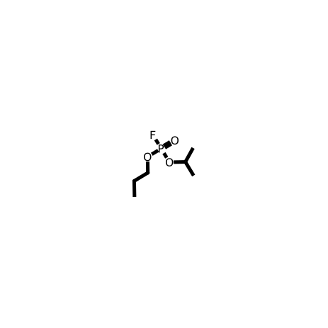 CCCOP(=O)(F)OC(C)C